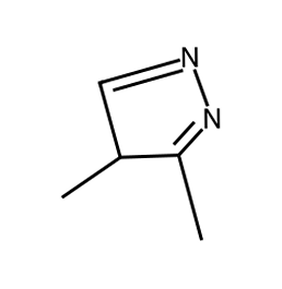 CC1=NN=CC1C